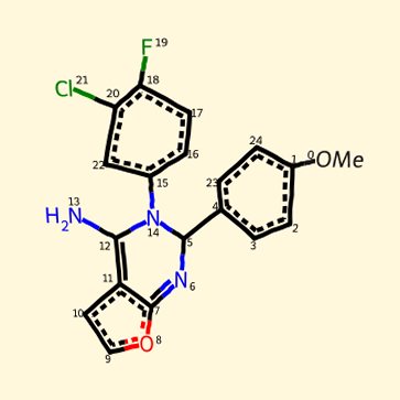 COc1ccc(C2N=c3occc3=C(N)N2c2ccc(F)c(Cl)c2)cc1